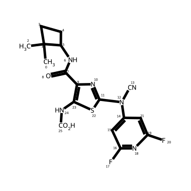 CC1(C)CCC1NC(=O)c1nc(N(C#N)c2cc(F)nc(F)c2)sc1NC(=O)O